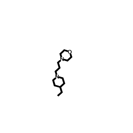 CCC1CCN(CCCN2CCOCC2)CC1